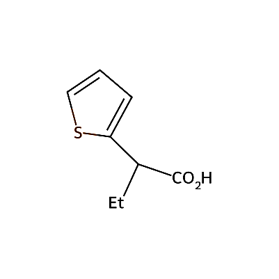 CCC(C(=O)O)c1cccs1